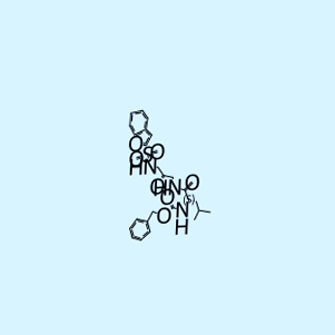 CC(C)C[C@H](NC(=O)OCc1ccccc1)C(=O)NCC(=O)CNS(=O)(=O)c1cc2ccccc2o1